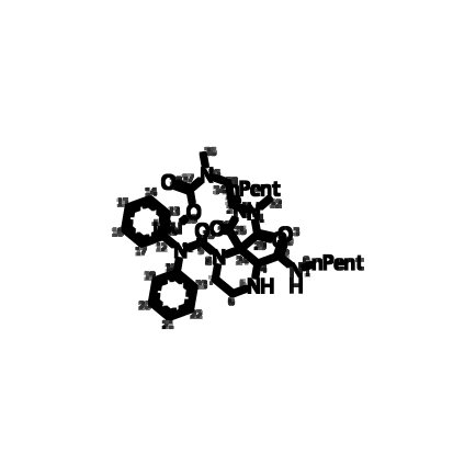 CCCCCNC(=O)C1NCCN(C(=O)N(c2ccccc2)c2ccccc2)C1(C(=O)NCCCCC)C(=O)N(C)CCN(C)C(=O)OC(C)(C)C